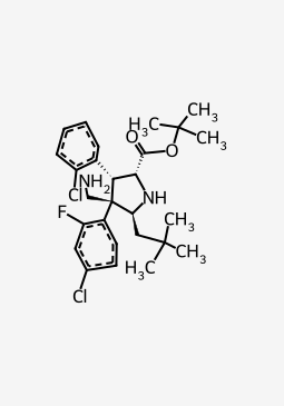 CC(C)(C)C[C@@H]1N[C@@H](C(=O)OC(C)(C)C)[C@@H](c2ccccc2Cl)[C@@]1(CN)c1ccc(Cl)cc1F